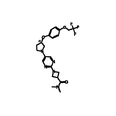 CN(C)C(=O)C1CN(c2ncc(N3CC[C@@H](Oc4ccc(OCC(F)(F)F)cc4)C3)cn2)C1